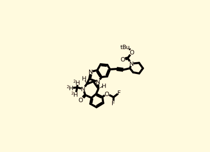 [2H]C([2H])([2H])N1C(=O)c2cccc(OC(F)F)c2[C@H]2C[C@@H]1c1nc3ccc(C#CC4CCCCN4C(=O)OC(C)(C)C)cc3n12